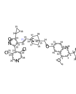 COc1cc(C(=O)O)nc2ccc(OCC34CCC(/C=C/c5c(-c6c(Cl)cncc6Cl)noc5C5CC5)(CC3)CC4)cc12